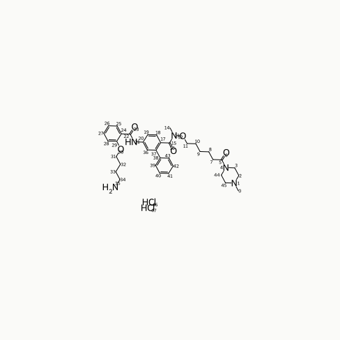 CN1CCN(C(=O)CCCCCON(C)C(=O)c2ccc(NC(=O)c3ccccc3OCCCCN)cc2-c2ccccc2)CC1.Cl.Cl